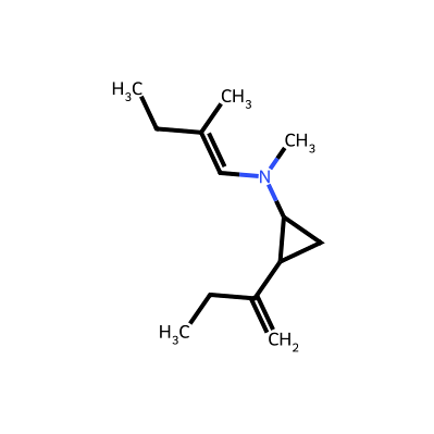 C=C(CC)C1CC1N(C)/C=C(\C)CC